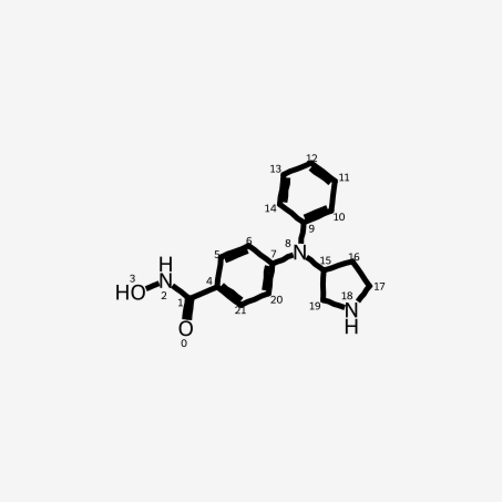 O=C(NO)c1ccc(N(c2ccccc2)C2CCNC2)cc1